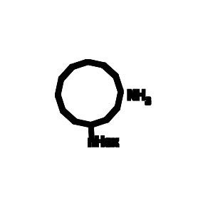 CCCCCCC1CCCCCCCCCCC1.N